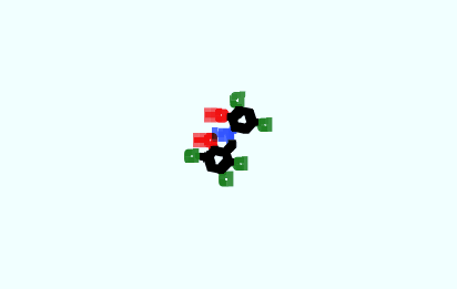 Oc1c(Cl)cc(Cl)cc1NCc1c(O)c(Cl)cc(Cl)c1Cl